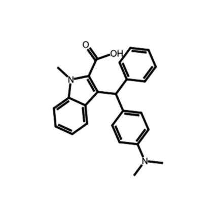 CN(C)c1ccc(C(c2ccccc2)c2c(C(=O)O)n(C)c3ccccc23)cc1